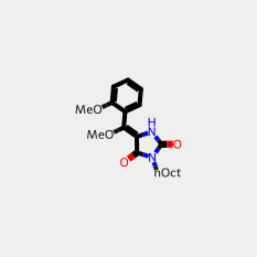 CCCCCCCCN1C(=O)NC(=C(OC)c2ccccc2OC)C1=O